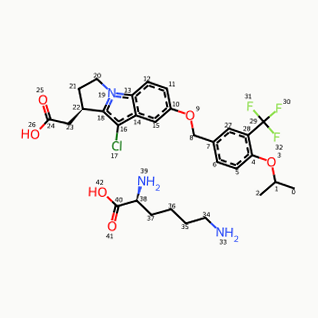 CC(C)Oc1ccc(COc2ccc3c(c2)c(Cl)c2n3CC[C@@H]2CC(=O)O)cc1C(F)(F)F.NCCCC[C@H](N)C(=O)O